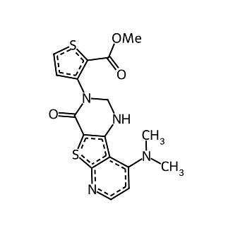 COC(=O)c1sccc1N1CNc2c(sc3nccc(N(C)C)c23)C1=O